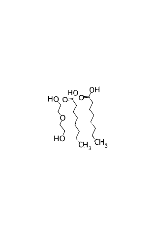 CCCCCCCC(=O)O.CCCCCCCC(=O)O.OCCOCCO